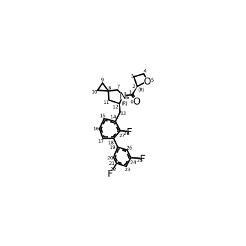 O=C([C@H]1CCO1)N1CC2(CC2)C[C@@H]1Cc1cccc(-c2cc(F)cc(F)c2)c1F